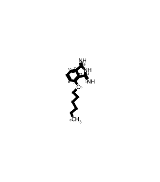 CCCCCCOc1cccc2c1C(=N)NC2=N